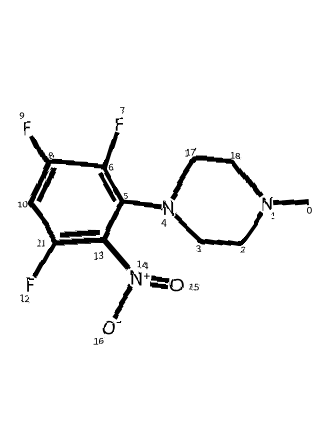 CN1CCN(c2c(F)c(F)cc(F)c2[N+](=O)[O-])CC1